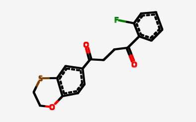 O=C(CCC(=O)c1ccccc1F)c1ccc2c(c1)SCCO2